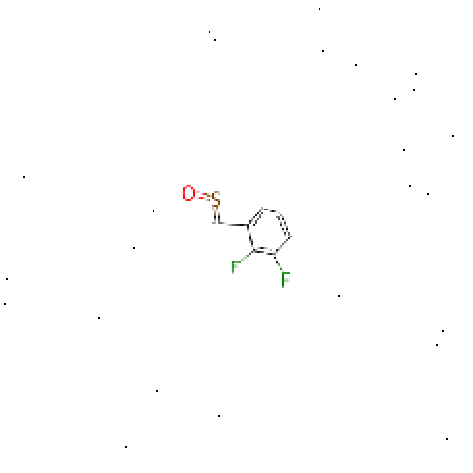 O=S=[C]c1cccc(F)c1F